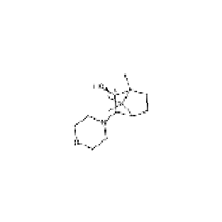 CC1(C)C2CCC1(C)[C@H](O)C2N1CCOCC1